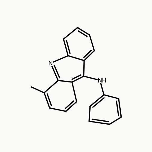 Cc1cccc2c(Nc3ccccc3)c3ccccc3nc12